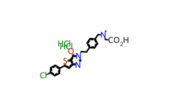 CN(CC(=O)O)Cc1ccc(CCn2cnc3cc(-c4ccc(Cl)cc4)sc3c2=O)cc1.Cl.Cl